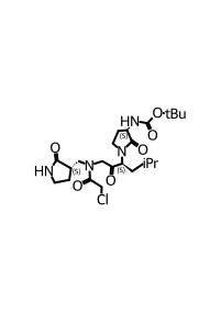 CC(C)C[C@@H](C(=O)CN(C[C@@H]1CCNC1=O)C(=O)CCl)N1CC[C@H](NC(=O)OC(C)(C)C)C1=O